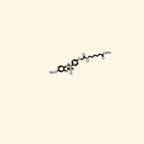 COC(=O)CCCCCNC(=O)COc1ccc(S(=O)(=O)C2(S)N=c3ccc(OC)cc3=N2)cc1